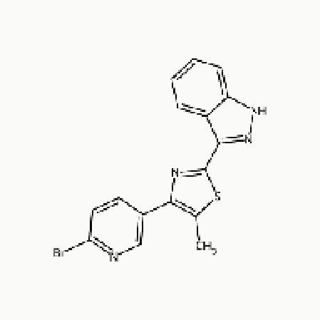 Cc1sc(-c2n[nH]c3ccccc23)nc1-c1ccc(Br)nc1